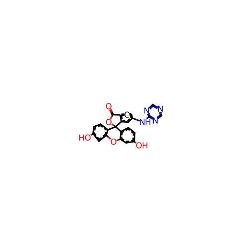 O=C1OC2(c3ccc(O)cc3Oc3cc(O)ccc32)c2cc(Nc3ncncn3)ccc21